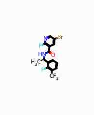 C[C@@H](NC(=O)c1cc(Br)cnc1F)c1cccc(C(F)(F)F)c1F